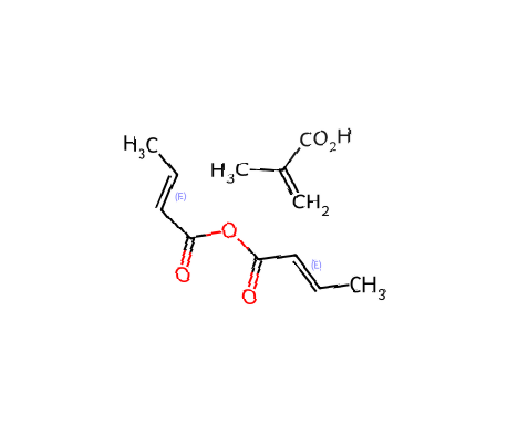 C/C=C/C(=O)OC(=O)/C=C/C.C=C(C)C(=O)O